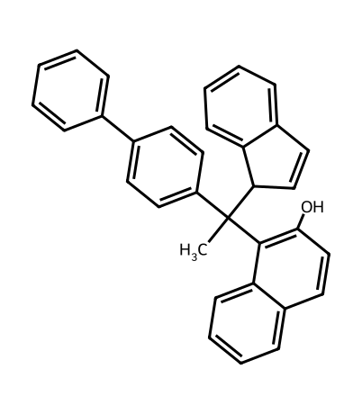 CC(c1ccc(-c2ccccc2)cc1)(c1c(O)ccc2ccccc12)C1C=Cc2ccccc21